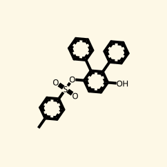 Cc1ccc(S(=O)(=O)Oc2ccc(O)c(-c3ccccc3)c2-c2ccccc2)cc1